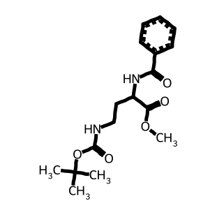 COC(=O)C(CCNC(=O)OC(C)(C)C)NC(=O)c1ccccc1